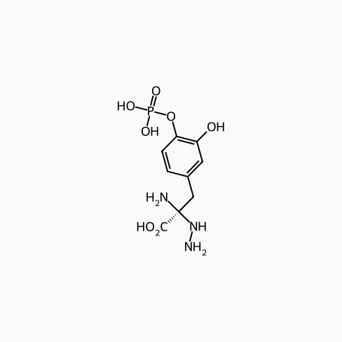 NN[C@@](N)(Cc1ccc(OP(=O)(O)O)c(O)c1)C(=O)O